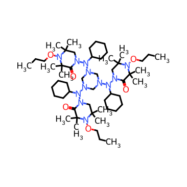 CCCON1C(C)(C)CN(N(C2CCCCC2)N2CN(N(C3CCCCC3)N3CC(C)(C)N(OCCC)C(C)(C)C3=O)CN(N(C3CCCCC3)N3CC(C)(C)N(OCCC)C(C)(C)C3=O)C2)C(=O)C1(C)C